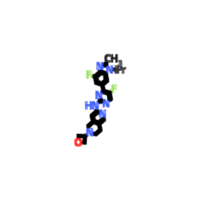 Cc1nc2c(F)cc(-c3nc(Nc4cc5c(cn4)CCN(C4COC4)C5)ncc3F)cc2n1C(C)C